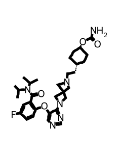 CC(C)N(C(=O)c1cc(F)ccc1Oc1cncnc1N1CC2(CN(CC[C@H]3CC[C@H](OC(N)=O)CC3)C2)C1)C(C)C